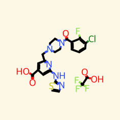 O=C(O)C(F)(F)F.O=C(O)c1cc(CN2CCN(C(=O)c3cccc(Cl)c3F)CC2)nc(Nc2nccs2)c1